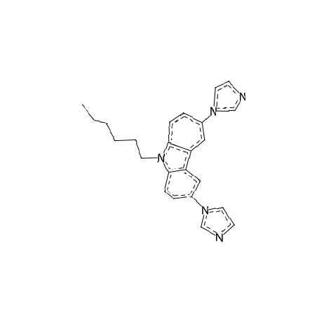 CCCCCCn1c2ccc(-n3ccnc3)cc2c2cc(-n3ccnc3)ccc21